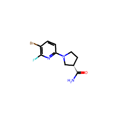 NC(=O)[C@H]1CCN(c2ccc(Br)c(F)n2)C1